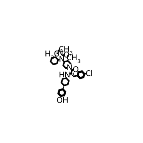 CC1CN(C(=O)[C@@H](Cc2ccc(Cl)cc2)N[C@H]2CC[C@H](c3ccc(O)cc3)CC2)CCC1N(C(=O)N(C)C)C1CCCCC1